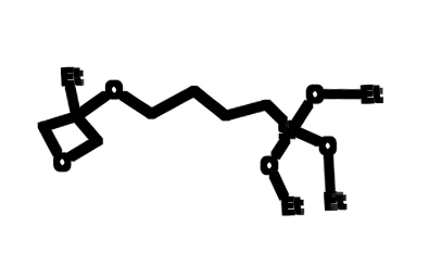 CCO[Si](CCCCOC1(CC)COC1)(OCC)OCC